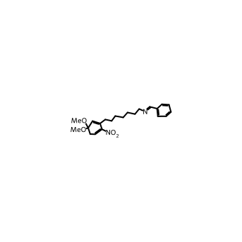 COC1(OC)C=C(CCCCCCCN=Cc2ccccc2)C([N+](=O)[O-])=CC1